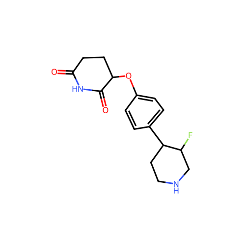 O=C1CCC(Oc2ccc(C3CCNCC3F)cc2)C(=O)N1